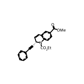 CCOC(=O)N1c2ccc(C(=O)OC)cc2C=C[C@H]1C#Cc1ccccc1